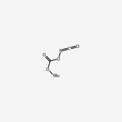 CC(C)(C)OC(=O)ON=C=O